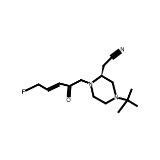 CC(C)(C)N1CCN(CC(=O)/C=C/CF)[C@@H](CC#N)C1